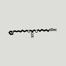 CCCCCCCCCCCCCCCCOCC(O)COCCCCCCCN1CCCC1